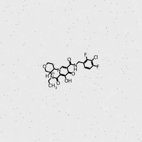 CCN1C(=O)c2c(O)c(=O)c(C(=O)NCc3ccc(F)c(Cl)c3F)cn2C2CCOC[C@H]21